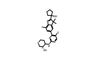 CC1(C)C(C2(O)CCCC2)=Nc2c(F)cc(-c3nc(NC4CCOC[C@H]4O)ncc3Cl)cc21